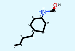 CCCC[C@H]1CC[C@@H](NC=O)CC1